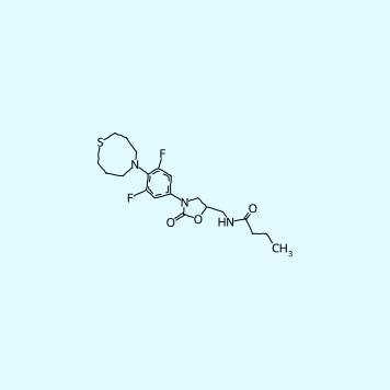 CCCC(=O)NCC1CN(c2cc(F)c(N3CCCSCCC3)c(F)c2)C(=O)O1